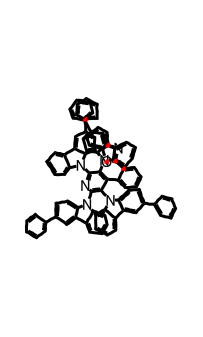 c1ccc(-c2ccc3c(c2)c2ccccc2n3-c2nc(-n3c4ccccc4c4cc(-c5ccccc5)ccc43)c(-n3c4ccccc4c4cc(-c5ccccc5)ccc43)c(-c3ccccc3-c3nc4ccccc4o3)c2-n2c3ccccc3c3cc(-c4ccccc4)ccc32)cc1